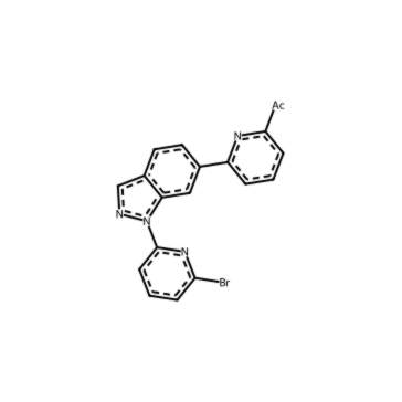 CC(=O)c1cccc(-c2ccc3cnn(-c4cccc(Br)n4)c3c2)n1